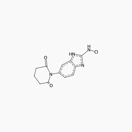 O=C1CCCC(=O)N1c1ccc2nc(NCl)[nH]c2c1